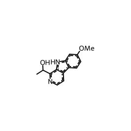 COc1ccc2c(c1)[nH]c1c(C(C)O)nccc12